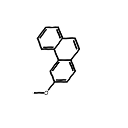 [CH2]Oc1ccc2ccc3ccccc3c2c1